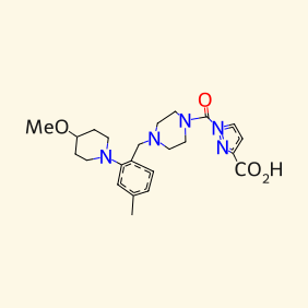 COC1CCN(c2cc(C)ccc2CN2CCN(C(=O)n3ccc(C(=O)O)n3)CC2)CC1